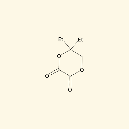 CCC1(CC)COC(=O)C(=O)O1